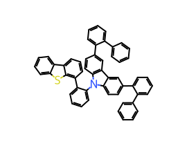 c1ccc(-c2ccccc2-c2ccc3c(c2)c2cc(-c4ccccc4-c4ccccc4)ccc2n3-c2ccccc2-c2cccc3c2sc2ccccc23)cc1